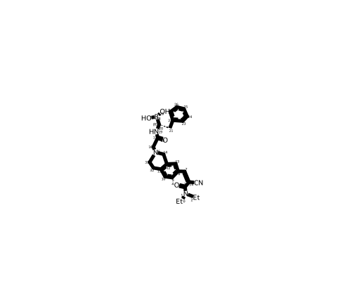 CCN(CC)C(=O)C(C#N)=Cc1ccc2c(c1)CN(CC(=O)N[C@@H](Cc1ccccc1)B(O)O)CC2